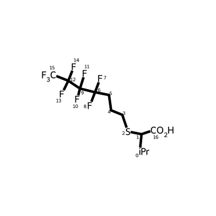 CC(C)C(SCCCC(F)(F)C(F)(F)C(F)(F)C(F)(F)F)C(=O)O